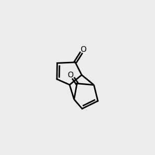 O=C1C2C=CC1C1C(=O)C=CC21